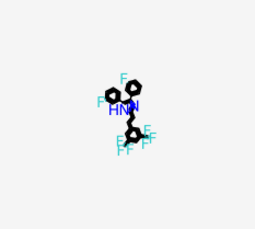 Fc1cccc([C@H]2N=C(CCc3cc(C(F)(F)F)cc(C(F)(F)F)c3)N[C@H]2c2cccc(F)c2)c1